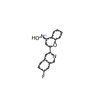 O/N=c1\cc(-c2cc3ccc(F)cc3cn2)oc2ccccc12